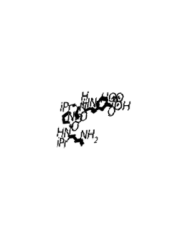 C=C(N)CC[C@H](NC(=O)[C@@H]1CCCN1C(=O)[C@H](CC(C)C)NC(=O)c1cc2cc(C(=O)P(=O)(O)O)ccc2[nH]1)C(C)C